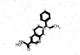 CC[C@H](c1ccccc1)N1CCc2cc(C(=O)NO)cnc2C1